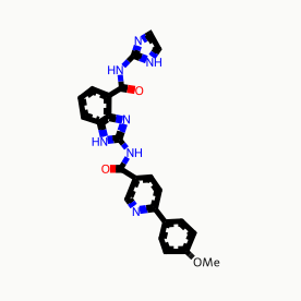 COc1ccc(-c2ccc(C(=O)Nc3nc4c(C(=O)Nc5ncc[nH]5)cccc4[nH]3)cn2)cc1